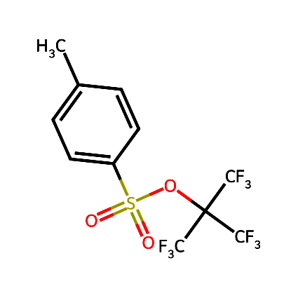 Cc1ccc(S(=O)(=O)OC(C(F)(F)F)(C(F)(F)F)C(F)(F)F)cc1